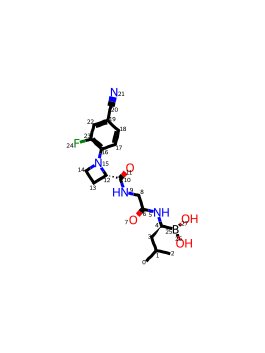 CC(C)C[C@@H](NC(=O)CNC(=O)[C@@H]1CCN1c1ccc(C#N)cc1F)B(O)O